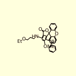 CCOCCCNc1cc(OC)c(Nc2ccccc2)c2c1C(=O)OC21c2ccccc2Oc2ccccc21